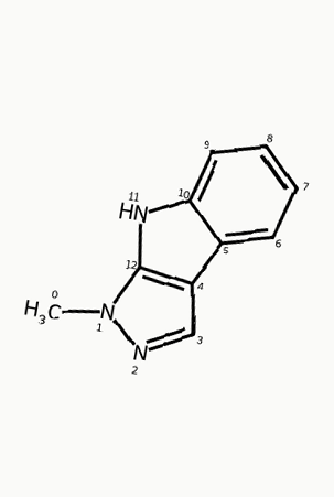 Cn1ncc2c3ccccc3[nH]c21